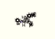 FC(F)(F)COc1nc(N/N=C/c2ccccc2Br)nc(Nc2ccc(OC(F)(F)F)cc2)n1